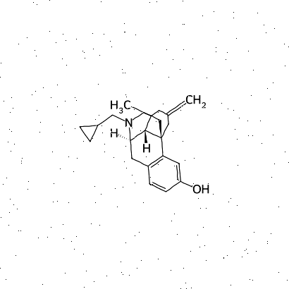 C=C1CC(C)[C@H]2[C@H]3Cc4ccc(O)cc4[C@@]2(CCN3CC2CC2)C1